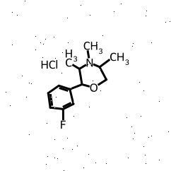 CC1COC(c2cccc(F)c2)C(C)N1C.Cl